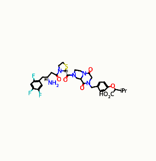 CC(C)C(Oc1ccc(CN2CC(=O)N3CCN(C(=O)[C@H]4SCCN4C(=O)C[C@H](N)Cc4cc(F)c(F)cc4F)CC3C2=O)cc1)C(=O)O